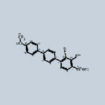 CCCCCc1ccc(-c2ccc(-c3ccc(OC(F)(F)F)cc3)cc2)c(F)c1F